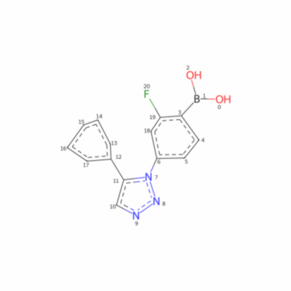 OB(O)c1ccc(-n2nncc2-c2ccccc2)cc1F